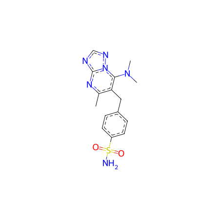 Cc1nc2ncnn2c(N(C)C)c1Cc1ccc(S(N)(=O)=O)cc1